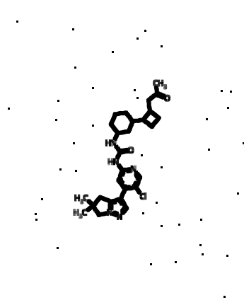 CC(=O)CC1CCC1C1CCCC(NC(=O)Nc2cc(-c3cnn4c3CC(C)(C)C4)c(Cl)cn2)C1